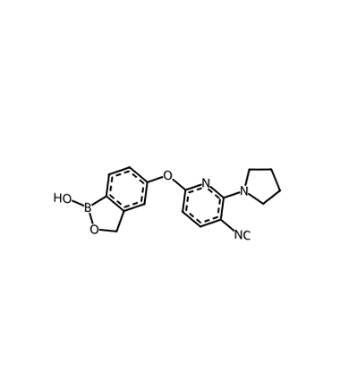 [C-]#[N+]c1ccc(Oc2ccc3c(c2)COB3O)nc1N1CCCC1